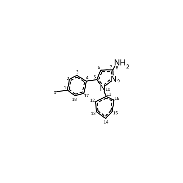 Cc1ccc(-c2cc(N)nn2-c2ccccc2)cc1